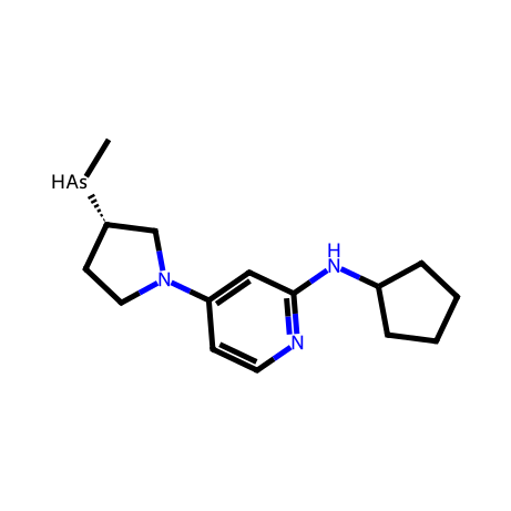 C[AsH][C@H]1CCN(c2ccnc(NC3CCCC3)c2)C1